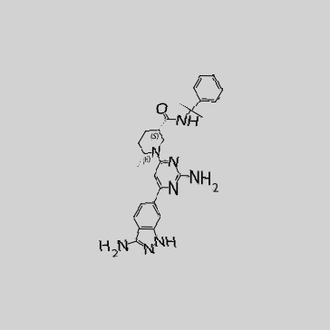 C[C@@H]1CC[C@H](C(=O)NC(C)(C)c2ccccc2)CN1c1cc(-c2ccc3c(N)n[nH]c3c2)nc(N)n1